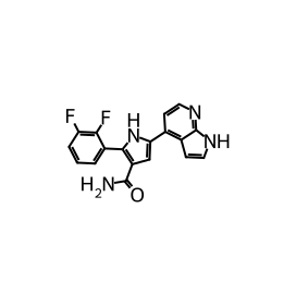 NC(=O)c1cc(-c2ccnc3[nH]ccc23)[nH]c1-c1cccc(F)c1F